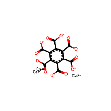 O=C([O-])c1c(C(=O)[O-])c(C(=O)[O-])c(C(=O)[O-])c(C(=O)[O-])c1C(=O)[O-].[Ca+2].[Ca+2].[Ca+2]